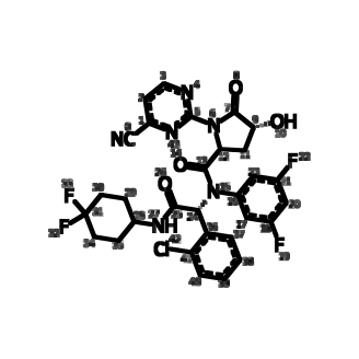 N#Cc1ccnc(N2C(=O)[C@H](O)CC2C(=O)N(c2cc(F)cc(F)c2)[C@@H](C(=O)NC2CCC(F)(F)CC2)c2ccccc2Cl)n1